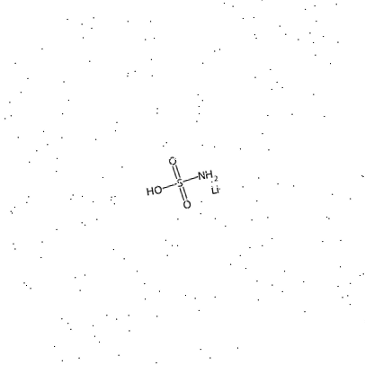 NS(=O)(=O)O.[Li]